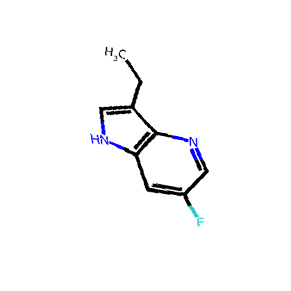 CCc1c[nH]c2cc(F)cnc12